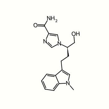 Cn1cc(CC[C@H](CO)n2cnc(C(N)=O)c2)c2ccccc21